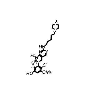 CCN1C(=O)N(c2c(F)c(O)cc(OC)c2Cl)Cc2cnc(NCCCCCN3CCN(C)CC3)nc21